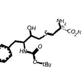 CC(C)(C)OC(=O)NC(Cc1ccccc1)C(O)CSC[C@H](N)C(=O)O